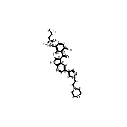 CCCS(=O)(=O)Nc1ccc(F)c(C(=O)c2c[nH]c3ncc(-c4cnn(CCN5CCOCC5)c4)cc23)c1F